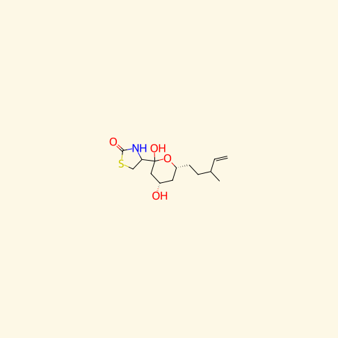 C=CC(C)CC[C@@H]1C[C@H](O)CC(O)(C2CSC(=O)N2)O1